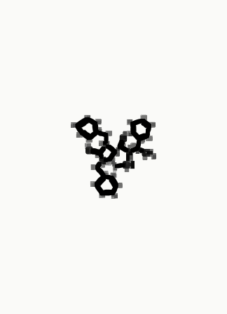 C[C@@H](NC(=O)[C@@H]1[C@H](CO)N(Cc2ccccc2)C(=O)N1Cc1ccccc1)c1ccccc1